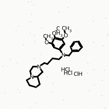 COc1cc(N(CCCCN2CCN3CCCCC3C2)Cc2ccccc2)cc(OC)c1OC.Cl.Cl.Cl